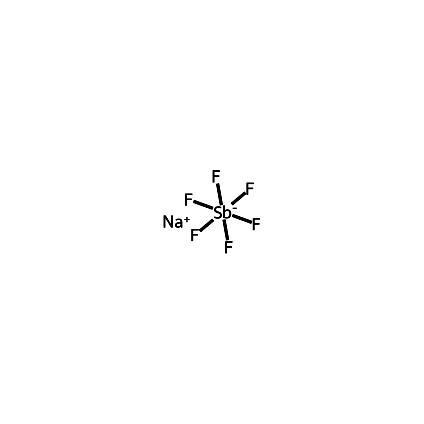 [F][Sb-]([F])([F])([F])([F])[F].[Na+]